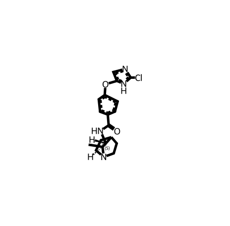 C[C@H]1[C@H](NC(=O)c2ccc(Oc3cnc(Cl)[nH]3)cc2)C2CCN1CC2